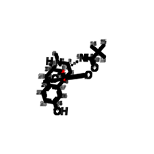 CN1CCC23CC(=O)[C@@H](NC(=O)C(C)(C)C)C[C@@]2(O)[C@H]1Cc1ccc(O)cc13